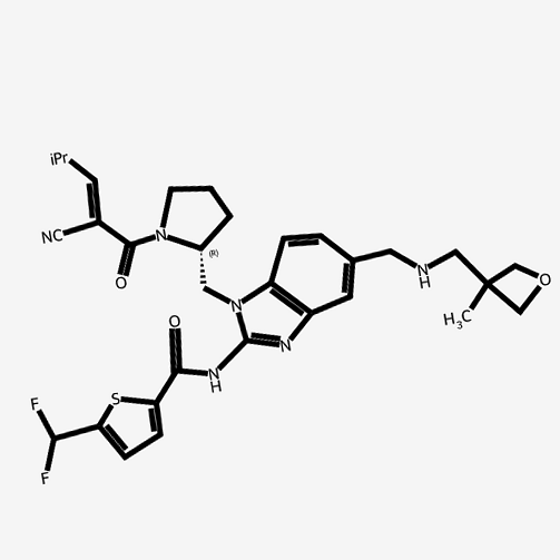 CC(C)C=C(C#N)C(=O)N1CCC[C@@H]1Cn1c(NC(=O)c2ccc(C(F)F)s2)nc2cc(CNCC3(C)COC3)ccc21